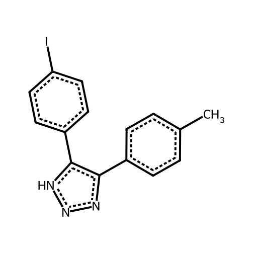 Cc1ccc(-c2nn[nH]c2-c2ccc(I)cc2)cc1